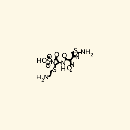 CON=C(C(=O)NC1C(=O)N(S(=O)(=O)O)C1SCCN)c1csc(N)n1